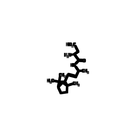 CC(C=CC1C2(C)CCC(C2)C1(C)C)NC(=O)[C@@H](N)CC(=O)O